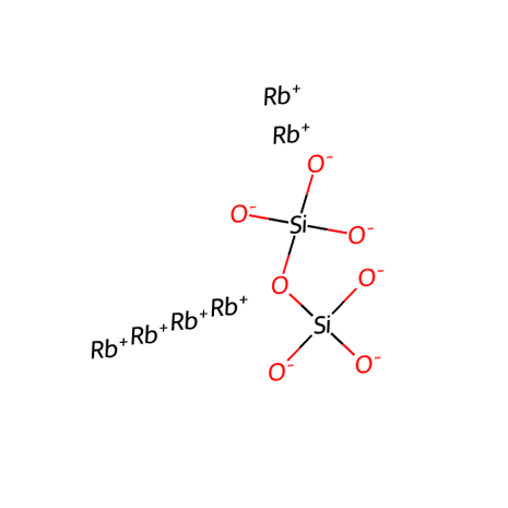 [O-][Si]([O-])([O-])O[Si]([O-])([O-])[O-].[Rb+].[Rb+].[Rb+].[Rb+].[Rb+].[Rb+]